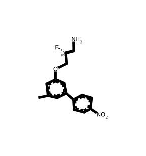 Cc1cc(OC[C@H](F)CN)cc(-c2ccc([N+](=O)[O-])cc2)c1